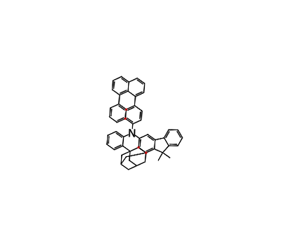 CC1(C)c2ccccc2-c2cc(N(c3ccc(-c4cccc5cccc(-c6ccccc6)c45)cc3)c3ccccc3C34CC5CC(CC(C5)C3)C4)ccc21